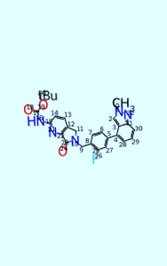 Cn1cc2c(-c3ccc(CN4Cc5ccc(NC(=O)OC(C)(C)C)nc5C4=O)c(F)c3)cccc2n1